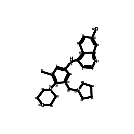 Cc1cc(Nc2ccnc3cc(Cl)ccc23)cc(CN2CCCC2)c1N1CCOCC1